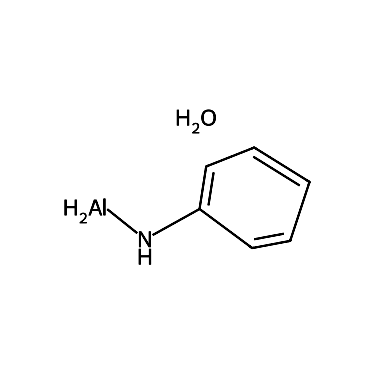 O.[AlH2][NH]c1ccccc1